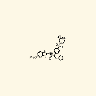 COc1ccc2nc(NC(=O)C(CC3CCCC3)c3ccc(S(=O)(=O)N4CCNC5(CC5)C4)cc3)sc2n1